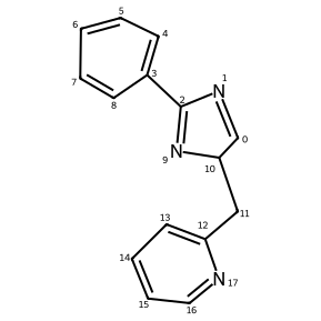 C1=NC(c2ccccc2)=NC1Cc1ccccn1